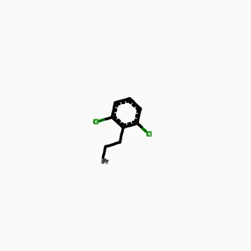 CC(C)CCc1c(Cl)cccc1Cl